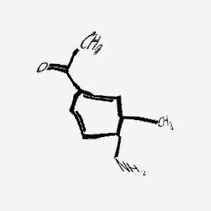 CC(=O)C1=CC(C)C(N)C=C1